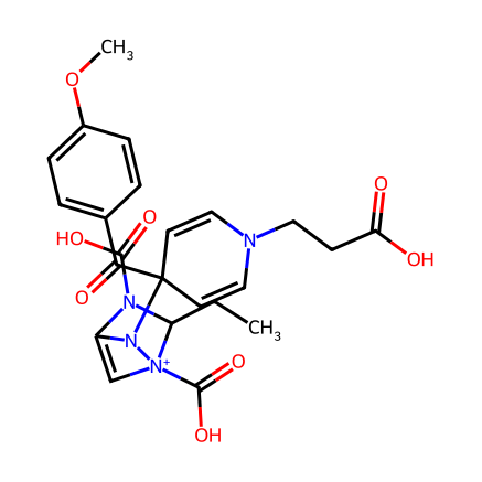 CCC1N(C(=O)O)C2=C[N+]1(C(=O)O)N2C1(C(=O)c2ccc(OC)cc2)C=CN(CCC(=O)O)C=C1